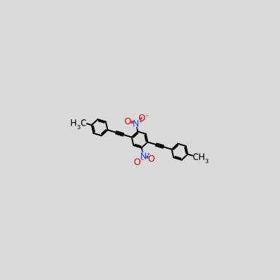 Cc1ccc(C#Cc2cc([N+](=O)[O-])c(C#Cc3ccc(C)cc3)cc2[N+](=O)[O-])cc1